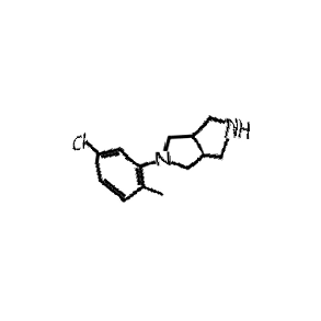 Cc1ccc(Cl)cc1N1CC2CNCC2C1